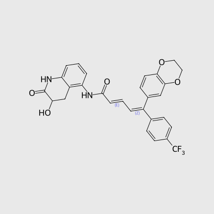 O=C(/C=C/C=C(/c1ccc(C(F)(F)F)cc1)c1ccc2c(c1)OCCO2)Nc1cccc2c1CC(O)C(=O)N2